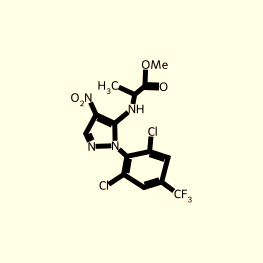 COC(=O)C(C)Nc1c([N+](=O)[O-])cnn1-c1c(Cl)cc(C(F)(F)F)cc1Cl